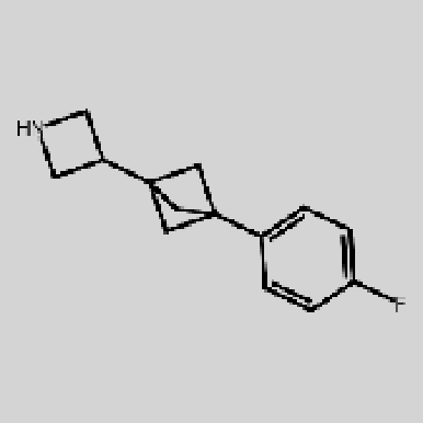 Fc1ccc(C23CC(C4CNC4)(C2)C3)cc1